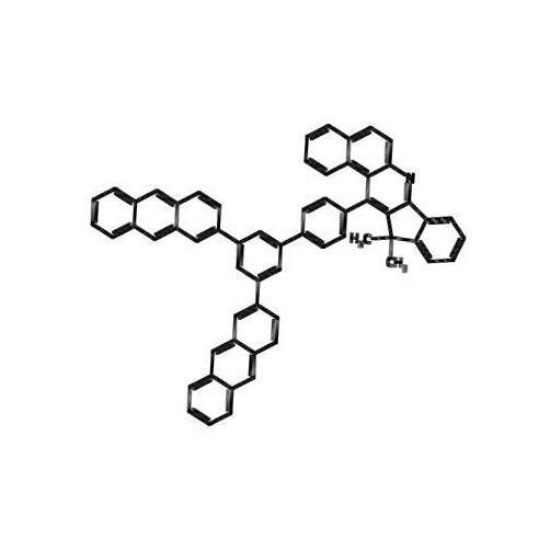 CC1(C)c2ccccc2-c2nc3ccc4ccccc4c3c(-c3ccc(-c4cc(-c5ccc6cc7ccccc7cc6c5)cc(-c5ccc6cc7ccccc7cc6c5)c4)cc3)c21